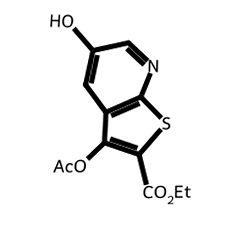 CCOC(=O)c1sc2ncc(O)cc2c1OC(C)=O